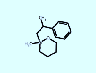 CC(C[Si]1(C)CCCCO1)c1ccccc1